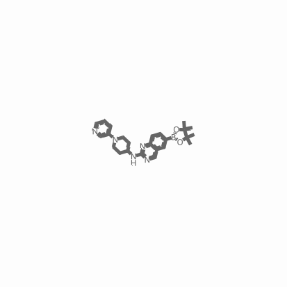 CC1(C)OB(c2ccc3nc(NC4CCN(c5cccnc5)CC4)ncc3c2)OC1(C)C